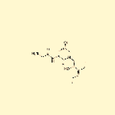 CCC=C(CC)C(O)CN(CC(=O)O)C(=O)CNC(=O)CN